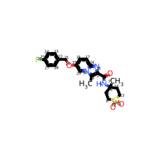 Cc1c(C(=O)NC2(C)CCS(=O)(=O)CC2)nc2ccc(OCc3ccc(F)cc3)cn12